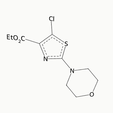 CCOC(=O)c1nc(N2CCOCC2)sc1Cl